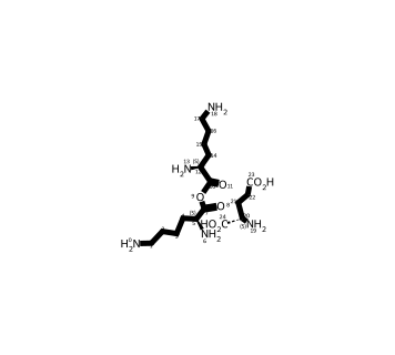 NCCCC[C@H](N)C(=O)OC(=O)[C@@H](N)CCCCN.N[C@@H](CCC(=O)O)C(=O)O